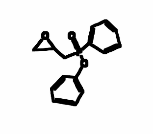 O=P(CC1CO1)(Oc1ccccc1)c1ccccc1